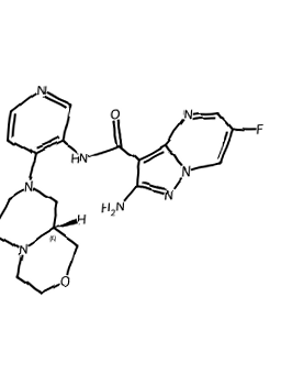 Nc1nn2cc(F)cnc2c1C(=O)Nc1cnccc1N1CCN2CCOC[C@H]2C1